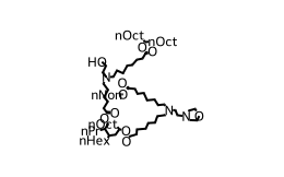 CCCCCCCCCOC(=O)CCCCCCCN(CCCCCCCC(=O)OC(CCCCCCCC)CC(CCCCCC)C(CCC)COC(=O)CCCCCN(CCO)CCCCCCCC(=O)OC(CCCCCCCC)CCCCCCCC)CCN1CCOCC1